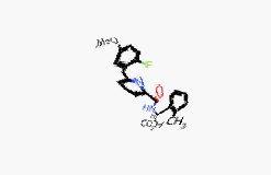 COc1ccc(F)c(-c2cccc(C(=O)N[C@@H](CC(=O)O)c3ccccc3C)n2)c1